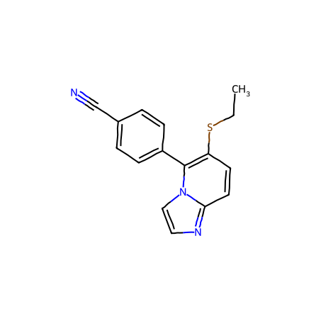 CCSc1ccc2nccn2c1-c1ccc(C#N)cc1